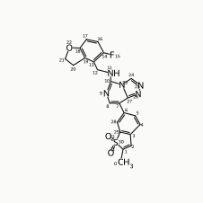 CC1=Cc2ccc(-c3cnc(NCc4c(F)ccc5c4CCO5)n4cnnc34)cc2S1(=O)=O